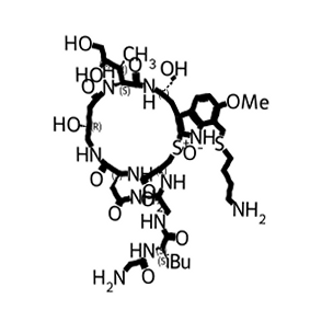 CC[C@H](C)[C@H](NC(=O)CN)C(=O)NCC(=O)N[C@H]1C[S+]([O-])c2[nH]c3c(CSCCCCN)c(OC)ccc3c2C[C@@H](CO)NC(=O)[C@H]([C@@H](C)[C@@H](O)CO)NC(=O)C[C@@H](O)CNC(=O)[C@H](CC(N)=O)NC1=O